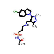 CCCCCC(=O)NS(=O)(=O)CC=CNCc1c(C)nn(C)c1-n1ccc2cc(Cl)ccc21